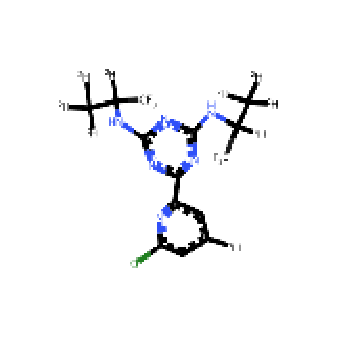 [2H]c1cc(Cl)nc(-c2nc(NC([2H])(C([2H])([2H])[2H])C(F)(F)F)nc(NC([2H])(C([2H])([2H])[2H])C(F)(F)F)n2)c1